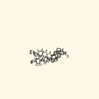 CCOc1ccc(CCC[C@@H](C(=O)N2CCN(c3ccc(F)cc3)CC2)[C@@H]2OC(C)(C)OC2=O)cc1